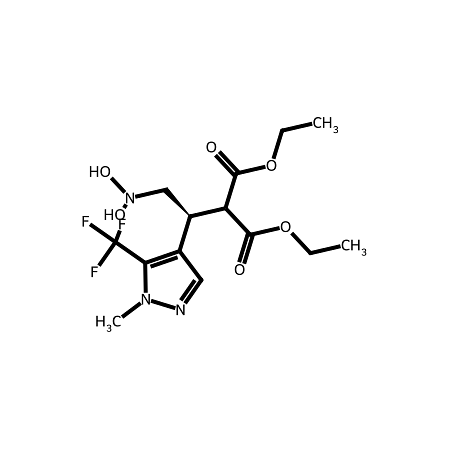 CCOC(=O)C(C(=O)OCC)[C@H](CN(O)O)c1cnn(C)c1C(F)(F)F